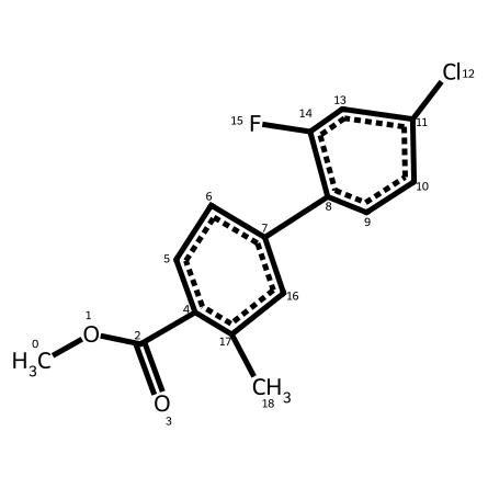 COC(=O)c1ccc(-c2ccc(Cl)cc2F)cc1C